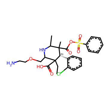 CCC1(C(=O)O)C(COCCN)NC(C)C(C)(C(=O)OS(=O)(=O)c2ccccc2)[C@@H]1c1ccccc1Cl